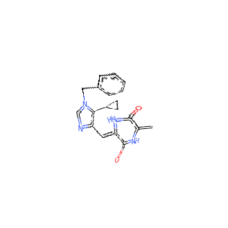 C=c1[nH]c(=O)c(=Cc2ncn(Cc3ccccc3)c2C2CC2)[nH]c1=O